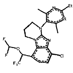 CCc1nc(C)c(N2CCCn3c2nc2c(Cl)ccc(C(OC(F)F)C(F)(F)F)c23)c(C)n1